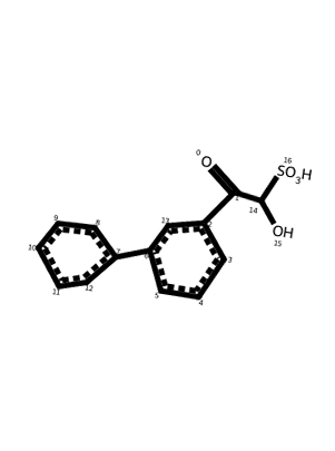 O=C(c1cccc(-c2ccccc2)c1)C(O)S(=O)(=O)O